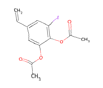 C=Cc1cc(I)c(OC(C)=O)c(OC(C)=O)c1